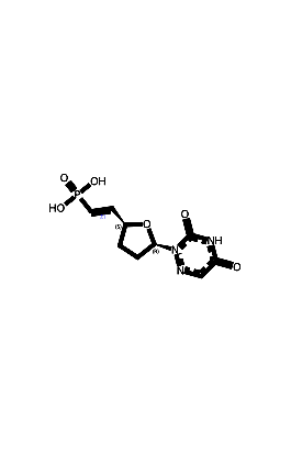 O=c1cnn([C@H]2CC[C@@H](/C=C/P(=O)(O)O)O2)c(=O)[nH]1